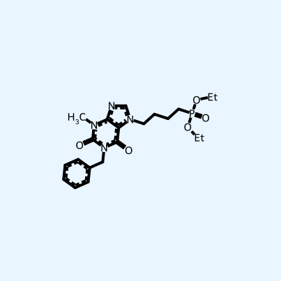 CCOP(=O)(CCCCn1cnc2c1c(=O)n(Cc1ccccc1)c(=O)n2C)OCC